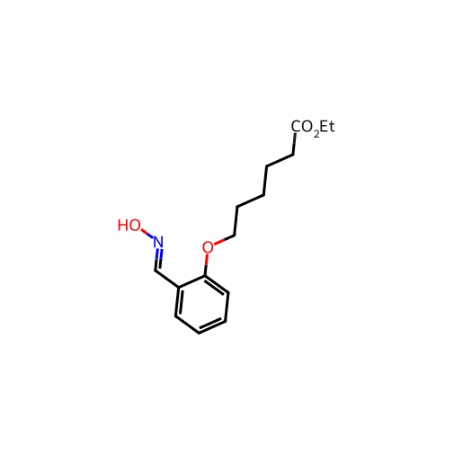 CCOC(=O)CCCCCOc1ccccc1/C=N/O